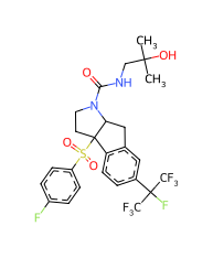 CC(C)(O)CNC(=O)N1CCC2(S(=O)(=O)c3ccc(F)cc3)c3ccc(C(F)(C(F)(F)F)C(F)(F)F)cc3CC12